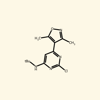 Cc1noc(C)c1-c1cc(NC(C)(C)C)nc(Cl)n1